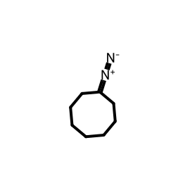 [N-]=[N+]=C1CCCCCCC1